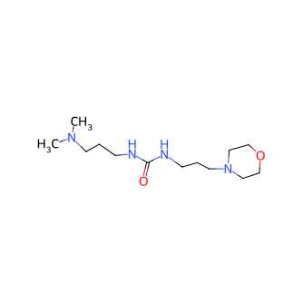 CN(C)CCCNC(=O)NCCCN1CCOCC1